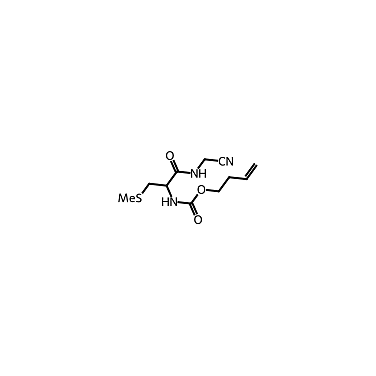 C=CCCOC(=O)NC(CSC)C(=O)NCC#N